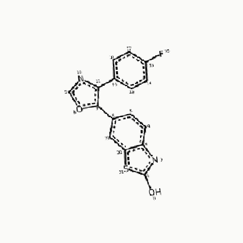 Oc1nc2ccc(-c3ocnc3-c3ccc(F)cc3)cc2s1